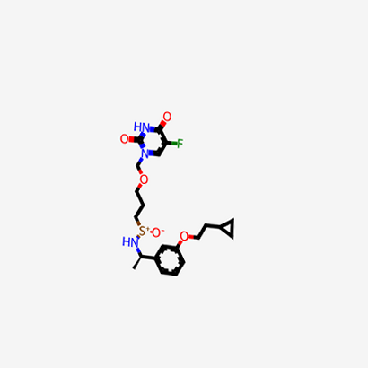 C[C@@H](N[S@@+]([O-])CCCOCn1cc(F)c(=O)[nH]c1=O)c1cccc(OCCC2CC2)c1